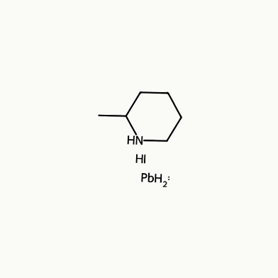 CC1CCCCN1.I.[PbH2]